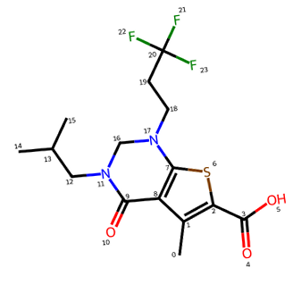 Cc1c(C(=O)O)sc2c1C(=O)N(CC(C)C)CN2CCC(F)(F)F